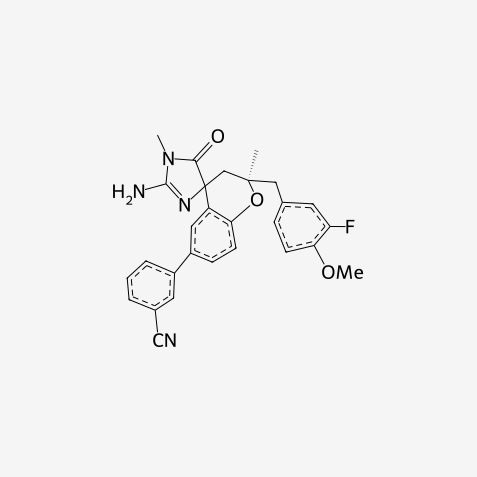 COc1ccc(C[C@]2(C)CC3(N=C(N)N(C)C3=O)c3cc(-c4cccc(C#N)c4)ccc3O2)cc1F